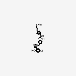 CSCCOc1ccc(NC(=O)NC2CCC(Cn3cncc3-c3cc(Cl)ccc3O)CC2)cc1